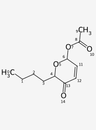 CCCCC1OC(OC(C)=O)C=CC1=O